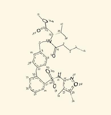 CCCCC(=O)N(Cc1ccc(-c2ccccc2S(=O)(=O)Nc2noc(C)c2C)cc1)[C@H](C(=O)OC)C(C)C